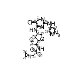 Cn1cc(Nc2ncc(Cl)c(NC3COC4C(NS(=O)(=O)CC5CC5)COC34)n2)cn1